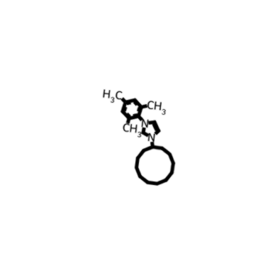 Cc1cc(C)c(N2C=CN(C3CCCCCCCCCCC3)C2)c(C)c1